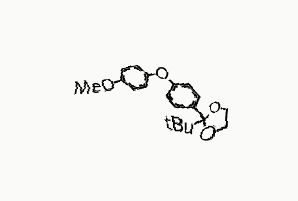 COc1ccc(Oc2ccc(C3(C(C)(C)C)OCCO3)cc2)cc1